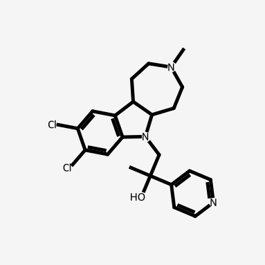 CN1CCC2c3cc(Cl)c(Cl)cc3N(CC(C)(O)c3ccncc3)C2CC1